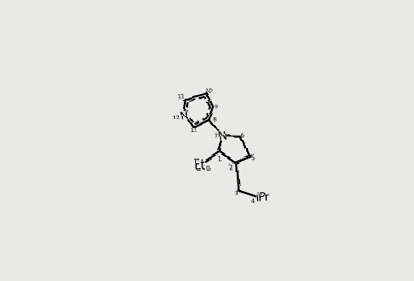 CCC1C(CC(C)C)CCN1c1cccnc1